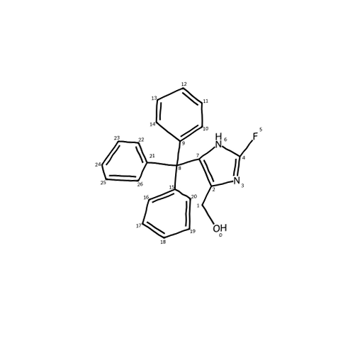 OCc1nc(F)[nH]c1C(c1ccccc1)(c1ccccc1)c1ccccc1